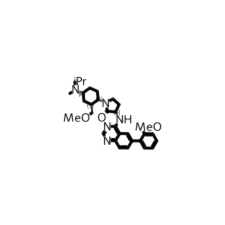 COC[C@H]1C[C@H](N(C)C(C)C)CC[C@@H]1N1CC[C@H](Nc2ncnc3ccc(-c4ccccc4OC)cc23)C1=O